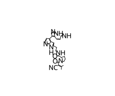 CC(C)=C(C#N)C(=O)N1CCCC1C(=O)NCCc1cc2c(-c3cn[nH]c3/C=C\C=N)ccnc2[nH]1